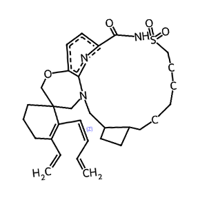 C=C/C=C\C1=C(C=C)CCCC12COc1ccc3nc1N(CC1CCC1CCCCCCS(=O)(=O)NC3=O)C2